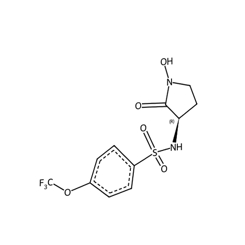 O=C1[C@H](NS(=O)(=O)c2ccc(OC(F)(F)F)cc2)CCN1O